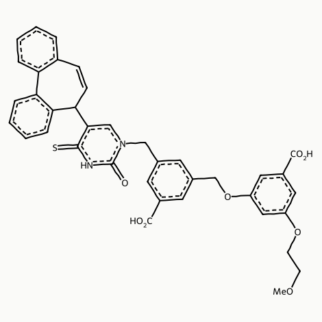 COCCOc1cc(OCc2cc(Cn3cc(C4C=Cc5ccccc5-c5ccccc54)c(=S)[nH]c3=O)cc(C(=O)O)c2)cc(C(=O)O)c1